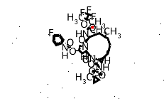 C[C@H]1CC/C=C\[C@@H]2C[C@@]2(C(=O)NS(=O)(=O)C2(C)CC2)NC(=O)[C@@H]2C[C@@H](OC(=O)Nc3ccc(F)cc3)CN2C(=O)[C@@H](NC(=O)OC(C)(C)C(F)(F)F)[C@H](C)C1